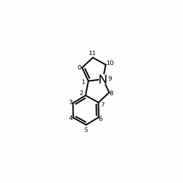 C1=C2c3ccccc3CN2CC1